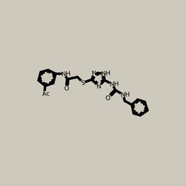 CC(=O)c1cccc(NC(=O)CSc2n[nH]c(NC(=O)NCc3ccccc3)n2)c1